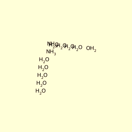 N.N.O.O.O.O.O.O.O.O.O.O